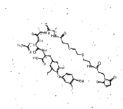 C[C@H](NC(=O)CCOCCOCCNC(=O)CCN1C(=O)C=CC1=O)C(=O)N[C@@H](C)C(=O)N[C@@H](CC(N)=O)C(=O)N[C@@H](Cc1cc(I)c(Oc2ccc(O)c(I)c2)c(I)c1)C(=O)O